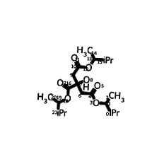 CC(C)C(C)OC(=O)CC(O)(CC(=O)OC(C)C(C)C)C(=O)OC(C)C(C)C